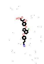 N#CCCc1ccc(Oc2ccc(F)c3c2CC[C@H]3Oc2ccc3c(c2)OCC3CC(=O)O)cc1